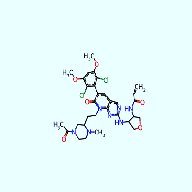 C=CC(=O)NC1COCC1Nc1ncc2cc(-c3c(Cl)c(OC)cc(OC)c3Cl)c(=O)n(CCC3CN(C(C)=O)CCN3C)c2n1